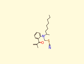 C=C(C)C(=O)c1ccccc1N(CSC#N)C(C)CCCCCCC